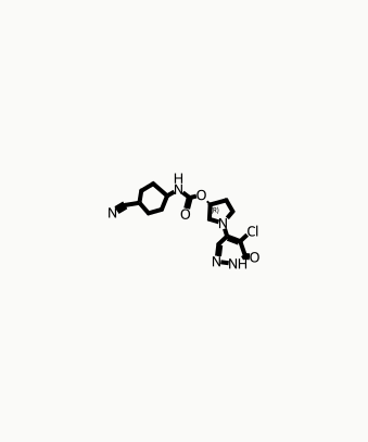 N#CC1CCC(NC(=O)O[C@@H]2CCN(c3cn[nH]c(=O)c3Cl)C2)CC1